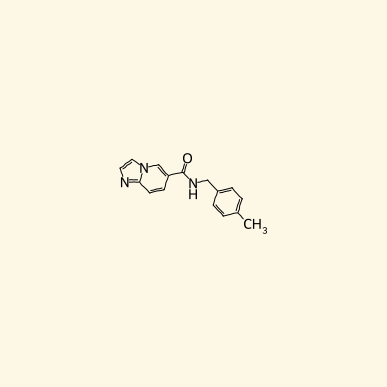 Cc1ccc(CNC(=O)c2ccc3nccn3c2)cc1